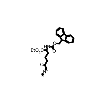 CCOC(=O)C(CCCC(=O)C=[N+]=[N-])NC(=O)OCC1c2ccccc2-c2ccccc21